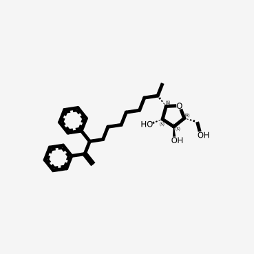 C=C(c1ccccc1)C(CCCCCCC(C)[C@@H]1O[C@H](CO)[C@@H](O)[C@@H]1O)c1ccccc1